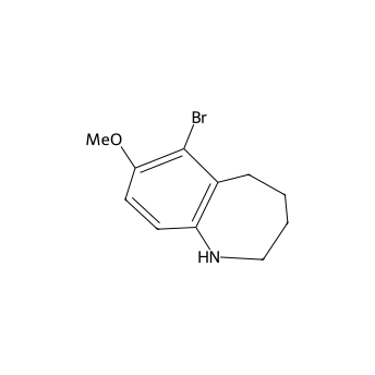 COc1ccc2c(c1Br)CCCCN2